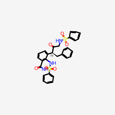 NC(=O)c1cccc([C@H](Cc2ccccc2)C(=O)CNS(=O)(=O)c2ccccc2)c1NS(=O)(=O)c1ccccc1